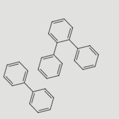 c1ccc(-c2ccccc2)cc1.c1ccc(-c2ccccc2-c2ccccc2)cc1